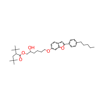 CCCCCc1ccc(-c2cc3ccc(OCCCCC(O)COC(=O)C(CC(C)(C)C)C(C)(C)C)cc3o2)cc1